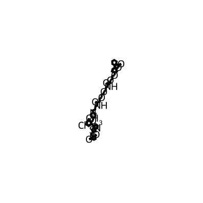 Cc1cc(Cl)cc(-c2ccnc3cc(CN4C(=O)CCC4=O)sc23)c1OC1CCN(CCCNC(=O)CCOCCOCCNC(=O)COCCOc2ccc3c4c(c(=O)oc3c2)CCCC4)CC1